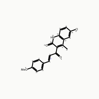 COc1ccc(/C=C/C(=O)c2c(C)c3cc(Cl)ccc3[nH]c2=O)cc1